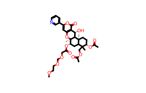 COCCOCOCC(=O)O[C@H]1CC2C(C)(COC(C)=O)[C@@H](OC(C)=O)CC[C@]2(C)C2[C@@H](O)c3c(cc(-c4cccnc4)oc3=O)O[C@@]21C